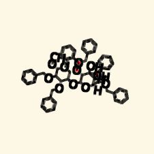 CO[C@@H]1O[C@H](COCc2ccccc2)[C@@H](O[C@@H]2O[C@@H]3C(OCc4ccccc4)C(c4ccccc4)[C@](O)([C@H]3O)[C@H]2OCc2ccccc2)[C@H](OCc2ccccc2)[C@H]1OCc1ccccc1